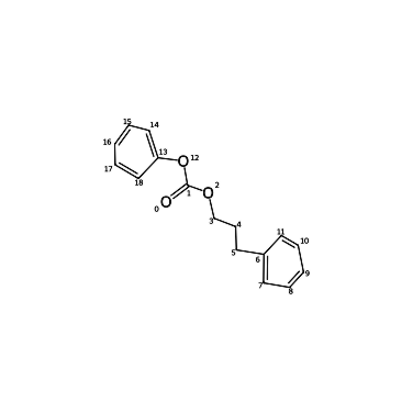 O=C(OCCCc1ccccc1)Oc1ccccc1